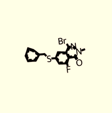 Cn1nc(Br)c2cc(SCc3ccccc3)cc(F)c2c1=O